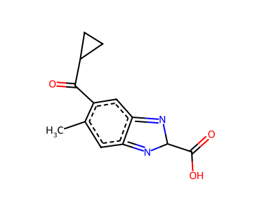 Cc1cc2c(cc1C(=O)C1CC1)=NC(C(=O)O)N=2